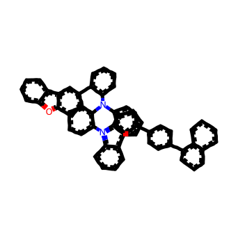 c1ccc(N(c2ccc(-c3ccc(-c4cccc5ccccc45)cc3)cc2)c2ccccc2-n2c3ccccc3c3ccccc32)c(-c2ccc3oc4ccccc4c3c2)c1